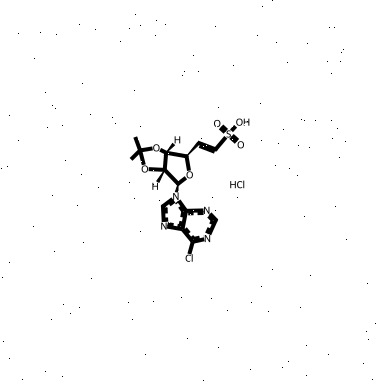 CC1(C)O[C@@H]2[C@H](O1)[C@@H](C=CS(=O)(=O)O)O[C@H]2n1cnc2c(Cl)ncnc21.Cl